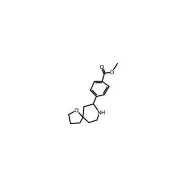 COC(=O)c1ccc(C2CC3(CCCO3)CCN2)cc1